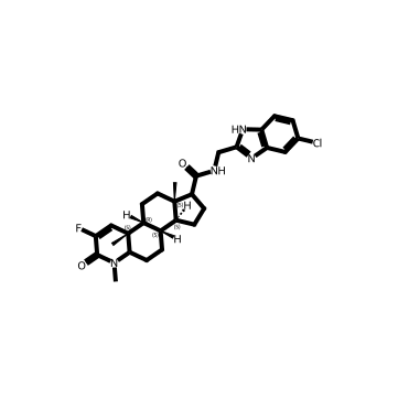 CN1C(=O)C(F)=C[C@@]2(C)C1CC[C@@H]1[C@H]2CC[C@]2(C)C(C(=O)NCc3nc4cc(Cl)ccc4[nH]3)CC[C@@H]12